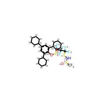 [O-][S+](NSC(F)(F)C(F)(F)C(F)(F)SOc1c(C2CCCCC2)cc(C2CCCCC2)cc1C1CCCCC1)C(F)(F)F